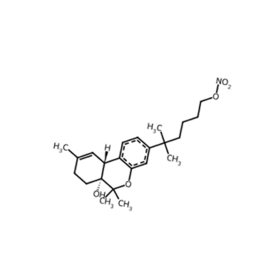 CC1=C[C@@H]2c3ccc(C(C)(C)CCCCO[N+](=O)[O-])cc3OC(C)(C)[C@@]2(O)CC1